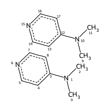 CN(C)c1ccncc1.CN(C)c1ccncc1